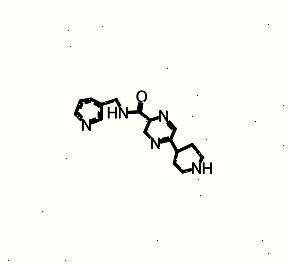 O=C(NCc1cccnc1)C1CN=C(C2CCNCC2)C=N1